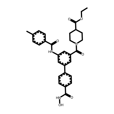 CCOC(=O)C1CCN(C(=O)c2cc(NC(=O)c3ccc(C)cc3)cc(-c3ccc(C(=O)NO)cc3)c2)CC1